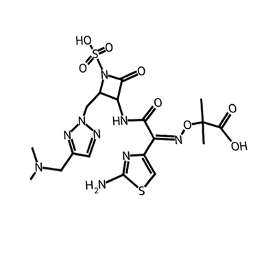 CN(C)Cc1cnn(CC2C(NC(=O)/C(=N\OC(C)(C)C(=O)O)c3csc(N)n3)C(=O)N2S(=O)(=O)O)n1